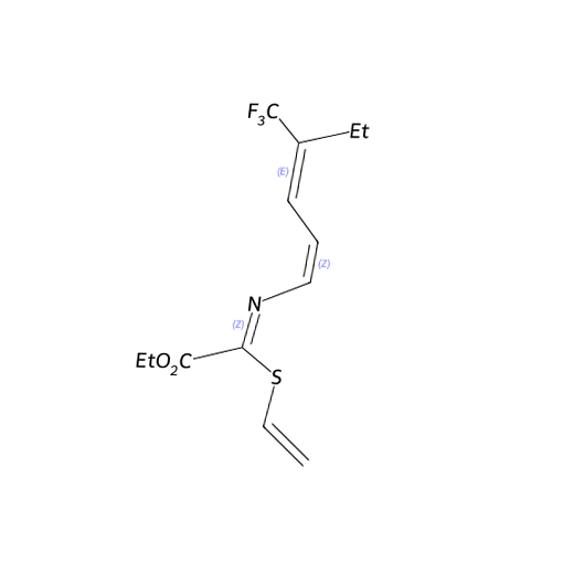 C=CS\C(=N/C=C\C=C(/CC)C(F)(F)F)C(=O)OCC